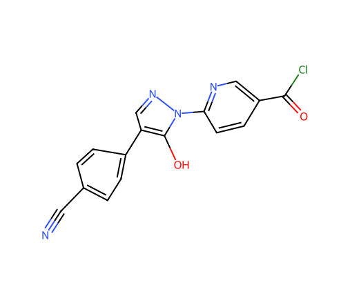 N#Cc1ccc(-c2cnn(-c3ccc(C(=O)Cl)cn3)c2O)cc1